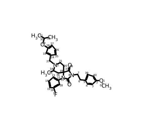 COc1ccc(CCN2C(=O)N(c3cccc(F)c3)C3(CCN(Cc4cccc(OC(C)C)c4)C(C)C3)C2=O)cc1